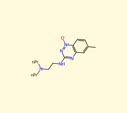 CCCN(CCC)CCNc1nc2cc(C)ccc2[n+]([O-])n1